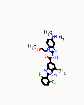 COCCn1c(NC(=O)c2cc(C)c3[nH]c(-c4c(F)cccc4Cl)nc3c2)nc2cc(N(C)C)ccc21